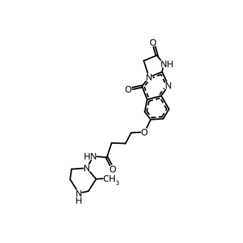 CC1CNCCN1NC(=O)CCCOc1ccc2nc3n(c(=O)c2c1)CC(=O)N3